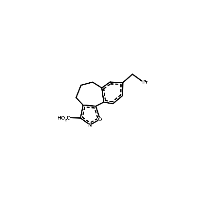 CC(C)Cc1ccc2c(c1)CCCc1c(C(=O)O)noc1-2